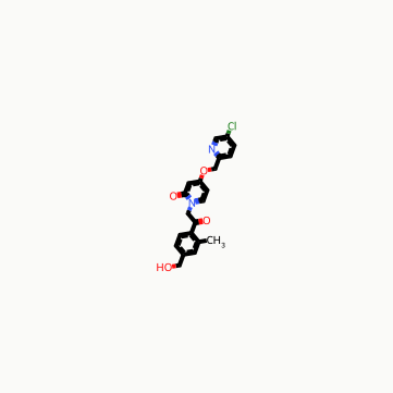 Cc1cc(CO)ccc1C(=O)Cn1ccc(OCc2ccc(Cl)cn2)cc1=O